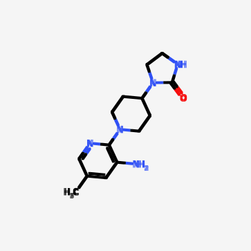 Cc1cnc(N2CCC(N3CCNC3=O)CC2)c(N)c1